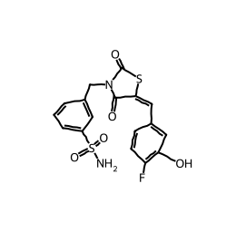 NS(=O)(=O)c1cccc(CN2C(=O)SC(=Cc3ccc(F)c(O)c3)C2=O)c1